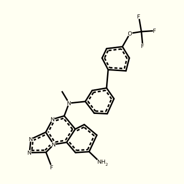 CN(c1cccc(-c2ccc(OC(F)(F)F)cc2)c1)c1nc2nnc(F)n2c2cc(N)ccc12